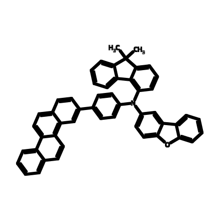 CC1(C)c2ccccc2-c2c(N(c3ccc(-c4ccc5ccc6c7ccccc7ccc6c5c4)cc3)c3ccc4oc5ccccc5c4c3)cccc21